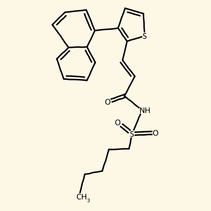 CCCCCS(=O)(=O)NC(=O)/C=C/c1sccc1-c1cccc2ccccc12